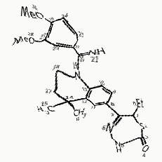 CCC1SC(=O)NN=C1c1ccc2c(c1)C(C)(C)CCN2C(=N)c1ccc(OC)c(OC)c1